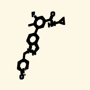 Cc1c(F)cc(C(=O)NC2CC2)cc1-c1ccc2c(cnn2Cc2cc[n+]([O-])cc2)c1